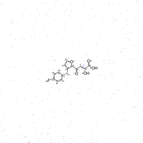 O=C(O)/C(O)=C/C(=O)c1occc1Cc1ccc(F)cc1